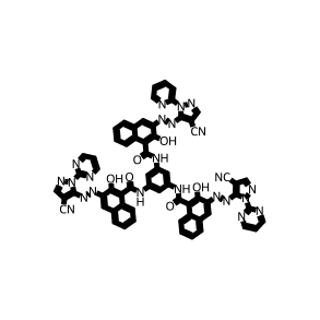 N#Cc1cnn(-c2ccccn2)c1/N=N/c1cc2ccccc2c(C(=O)Nc2cc(NC(=O)c3c(O)c(/N=N/c4c(C#N)cnn4-c4ncccn4)cc4ccccc34)cc(NC(=O)c3c(O)c(/N=N/c4c(C#N)cnn4-c4ncccn4)cc4ccccc34)c2)c1O